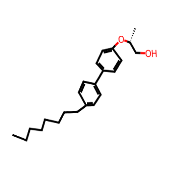 CCCCCCCCc1ccc(-c2ccc(O[C@H](C)CO)cc2)cc1